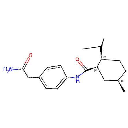 CC(C)[C@H]1CC[C@@H](C)C[C@H]1C(=O)Nc1ccc(CC(N)=O)cc1